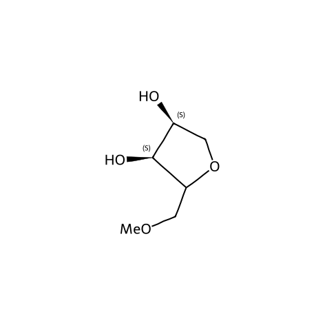 COCC1OC[C@H](O)[C@@H]1O